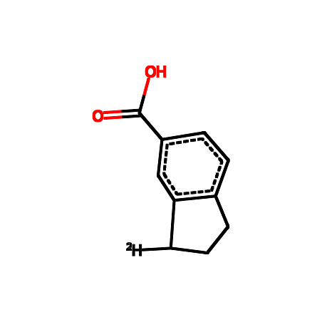 [2H]C1CCc2ccc(C(=O)O)cc21